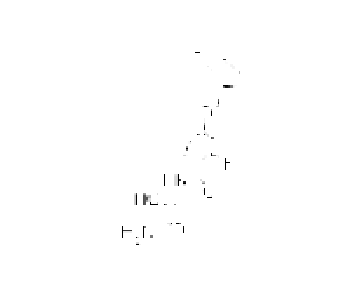 NC(=O)C(O)CNC(=O)c1ccc(OCc2cccc(F)c2)cc1F